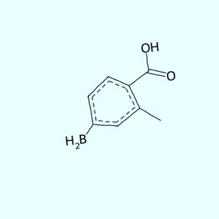 Bc1ccc(C(=O)O)c(C)c1